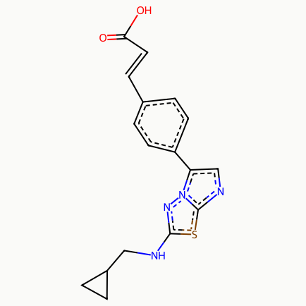 O=C(O)C=Cc1ccc(-c2cnc3sc(NCC4CC4)nn23)cc1